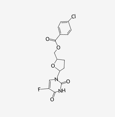 O=C(OCC1CCC(n2cc(F)c(=O)[nH]c2=O)O1)c1ccc(Cl)cc1